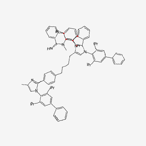 Cc1cn(-c2c(C(C)C)cc(-c3ccccc3)cc2C(C)C)c(-c2ccc(CCCCC3=CN(c4c(C(C)C)cc(-c5ccccc5)cc4C(C)C)C4c5ccccc5/C(=C\Cc5ccccc5C(=N)N(C)c5c(C(C)C)cccc5C(C)C)N34)cc2)n1